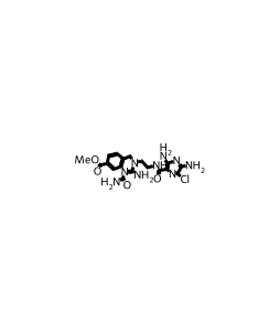 COC(=O)c1ccc(CN(CCNC(=O)c2nc(Cl)c(N)nc2N)C(N)=NC(N)=O)cc1